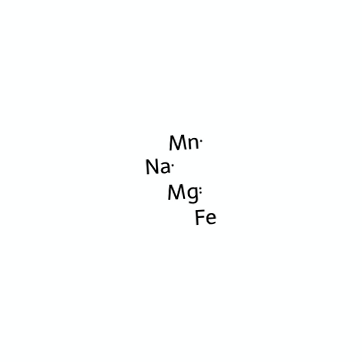 [Fe].[Mg].[Mn].[Na]